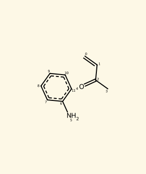 C=CC(C)=O.Nc1ccccc1